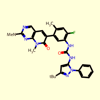 CNc1ncc2cc(-c3cc(NC(=O)Nc4cc(C(C)(C)C)nn4-c4ccccc4)c(F)cc3C)c(=O)n(C)c2n1